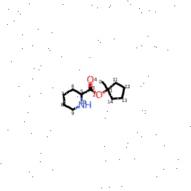 CC1(OC(=O)C2CCCCN2)CCCC1